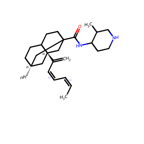 C=C(/C=C\C=C/C)[C@]12CC3(C(=O)NC4CCNCC4C)CCC1CC[C@@](CCC)(C3)C2